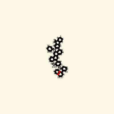 CC1(C)c2ccccc2-c2ccc(N(c3ccccc3)c3cc4c5cccc6c5c(cc4c4ccccc34)-c3ccc(N(c4ccccc4)c4ccccc4-c4ccccc4)cc3[Si]6(C)C)cc21